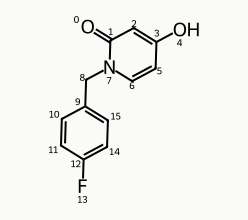 O=c1cc(O)ccn1Cc1ccc(F)cc1